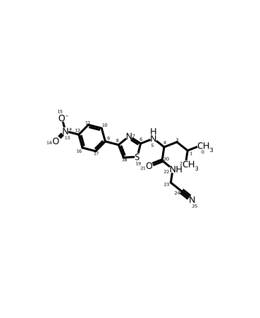 CC(C)CC(Nc1nc(-c2ccc([N+](=O)[O-])cc2)cs1)C(=O)NCC#N